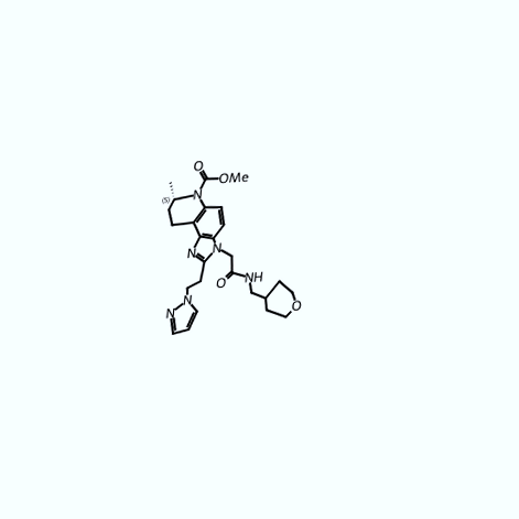 COC(=O)N1c2ccc3c(nc(CCn4cccn4)n3CC(=O)NCC3CCOCC3)c2CC[C@@H]1C